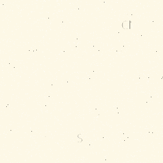 Cc1csc2ccc(Cl)cc12